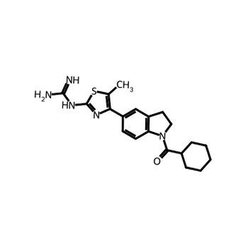 Cc1sc(NC(=N)N)nc1-c1ccc2c(c1)CCN2C(=O)C1CCCCC1